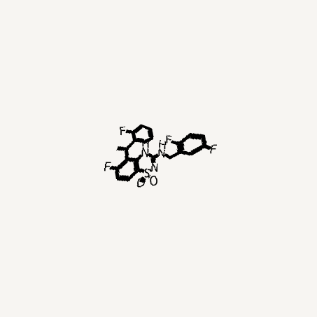 CC(c1ccccc1F)c1c(F)ccc2c1NC(NCc1cc(F)ccc1F)=NS2(=O)=O